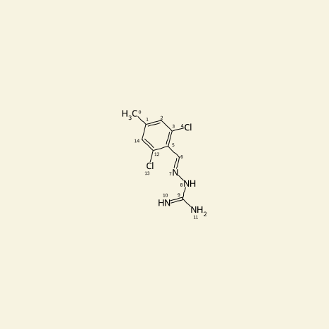 Cc1cc(Cl)c(/C=N/NC(=N)N)c(Cl)c1